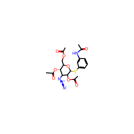 CC(=O)Nc1cccc(S[C@@H]2OC(COC(C)=O)[C@@H](OC(C)=O)C(N=[N+]=[N-])C2OC(C)=O)c1